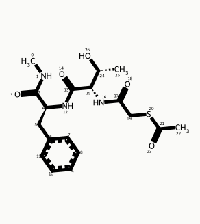 CNC(=O)[C@H](Cc1ccccc1)NC(=O)[C@@H](NC(=O)CSC(C)=O)[C@@H](C)O